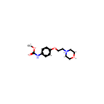 CC(C)(C)OC(=O)Nc1ccc(OCCN2CCOCC2)cc1